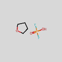 C1CCOC1.O=P(O)(F)F